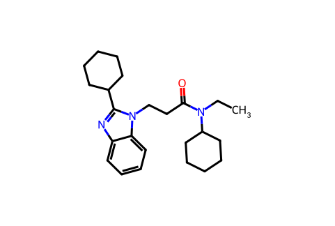 CCN(C(=O)CCn1c(C2CCCCC2)nc2ccccc21)C1CCCCC1